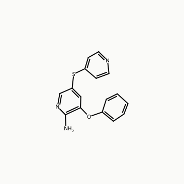 Nc1ncc(Sc2ccncc2)cc1Oc1ccccc1